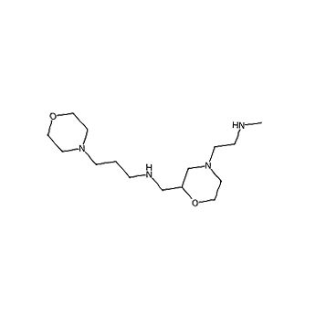 CNCCN1CCOC(CNCCCN2CCOCC2)C1